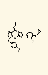 CCOC(=O)c1nnn(Cc2ccc(OC)cc2)c1Sc1nc(-c2ccc(OC3CC3)c(Cl)c2)cs1